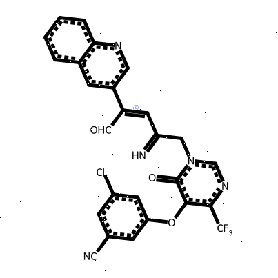 N#Cc1cc(Cl)cc(Oc2c(C(F)(F)F)ncn(CC(=N)/C=C(\C=O)c3cnc4ccccc4c3)c2=O)c1